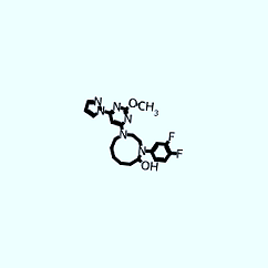 COc1nc(N2CCCCCC(O)N(c3ccc(F)c(F)c3)CC2)cc(-n2cccn2)n1